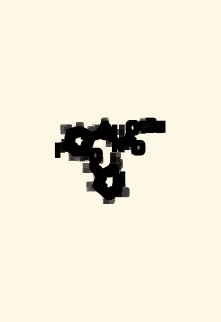 CC(C)(C)OC(=O)NC1CC1c1ccc(F)cc1OCc1cccnc1F